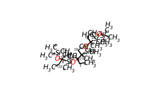 CCC(C)(O[Si](C)(C)C(C)(CC)O[Si](C)(C)C)C(C)(CC)[SiH](C)OC(C)(CC)[Si](C)(C)O[Si](C)(C)C